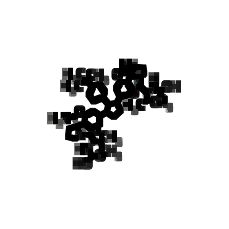 CC(C)[C@H](NC(=O)O)C(=O)N1CCC[C@@]1(C(N)=O)c1ccc(C2CCC(c3ccc([C@]4(C(N)=O)CCCN4C(=O)[C@@H](NC(=O)O)C(C)C)cc3)C2c2ccc(C(C)(C)C)cc2)cc1